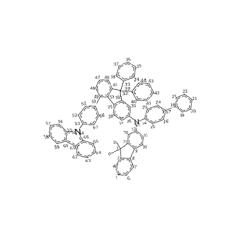 CC1(C)c2ccccc2-c2ccc(N(c3ccc(-c4ccccc4)cc3)c3ccc4c(c3)C(c3ccccc3)(c3ccccc3)c3cccc(-c5ccc(-n6c7ccccc7c7ccccc76)cc5)c3-4)cc21